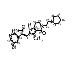 Cc1c(C=C2C(=O)Nc3ncc(Br)cc32)[nH]c2c1C(=O)N(CCN1CCCCC1)CC2